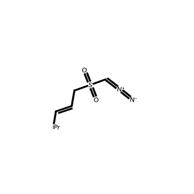 CC(C)C=CCS(=O)(=O)C=[N+]=[N-]